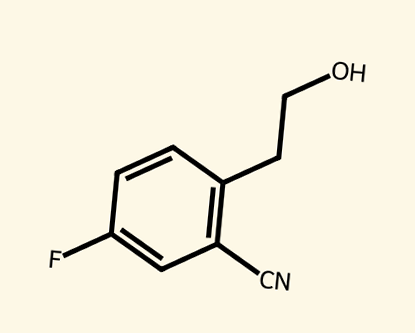 N#Cc1cc(F)ccc1CCO